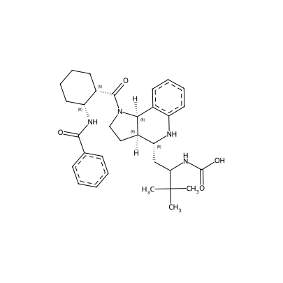 CC(C)(C)C(C[C@H]1Nc2ccccc2[C@H]2[C@@H]1CCN2C(=O)[C@H]1CCCC[C@H]1NC(=O)c1ccccc1)NC(=O)O